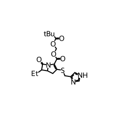 CCC1C(=O)N2C(C(=O)OCOC(=O)C(C)(C)C)=C(SCc3c[nH]cn3)CC12